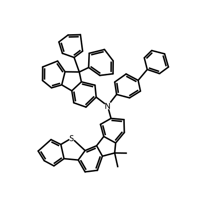 CC1(C)c2ccc(N(c3ccc(-c4ccccc4)cc3)c3ccc4c(c3)C(c3ccccc3)(c3ccccc3)c3ccccc3-4)cc2-c2c1ccc1c2sc2ccccc21